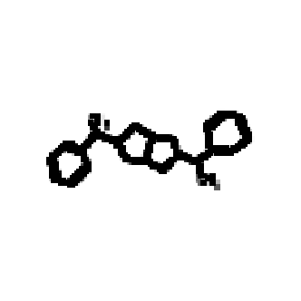 CC(c1ccccc1)N1CC2CN(C(C)c3ccccc3)CC2C1